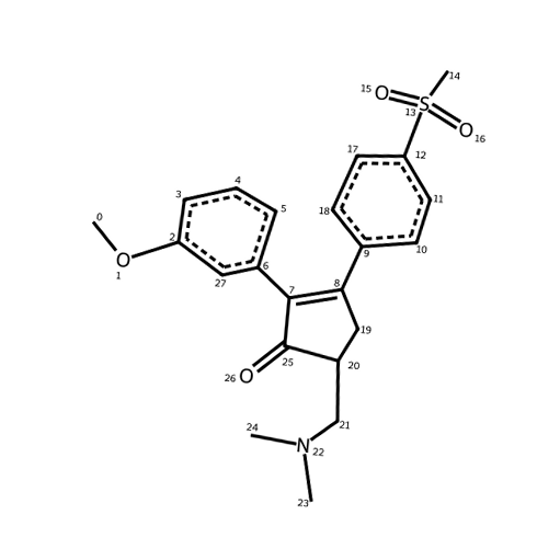 COc1cccc(C2=C(c3ccc(S(C)(=O)=O)cc3)CC(CN(C)C)C2=O)c1